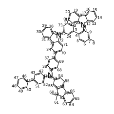 Cc1cc(-c2ccc(C)cc2-n2c3ccccc3c3ccccc32)cc(-n2c3ccccc3c3cc(-c4ccc(N(c5ccc(-c6ccccc6)cc5)c5ccc6c(c5)C(C)(C)c5ccccc5-6)cc4)ccc32)c1